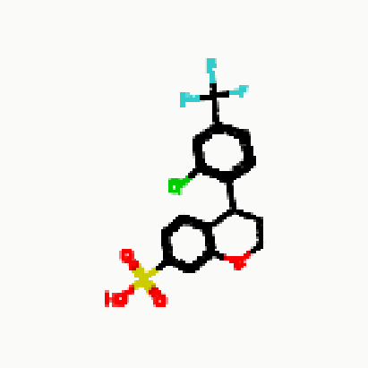 O=S(=O)(O)c1ccc2c(c1)OCCC2c1ccc(C(F)(F)F)cc1Cl